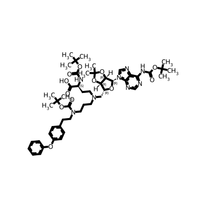 CC(C)(C)OC(=O)Nc1ncnc2c1ncn2[C@@H]1O[C@H](CN(CCCN(CCc2ccc(Oc3ccccc3)cc2)C(=O)OC(C)(C)C)CC[C@H](NC(=O)OC(C)(C)C)C(=O)O)[C@H]2OC(C)(C)O[C@H]21